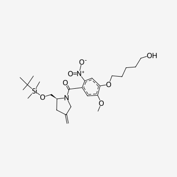 C=C1C[C@@H](CO[Si](C)(C)C(C)(C)C)N(C(=O)c2cc(OC)c(OCCCCCO)cc2[N+](=O)[O-])C1